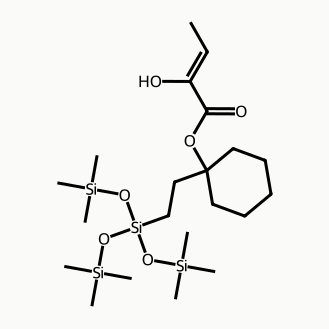 CC=C(O)C(=O)OC1(CC[Si](O[Si](C)(C)C)(O[Si](C)(C)C)O[Si](C)(C)C)CCCCC1